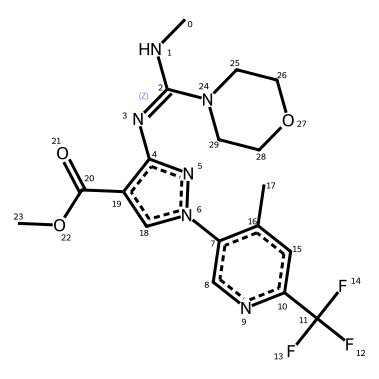 CN/C(=N/c1nn(-c2cnc(C(F)(F)F)cc2C)cc1C(=O)OC)N1CCOCC1